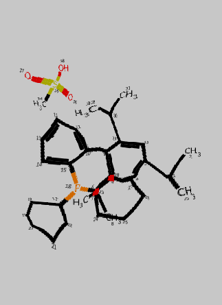 CC(C)c1cc(C(C)C)c(-c2ccccc2P(C2CCCCC2)C2CCCCC2)c(C(C)C)c1.CS(=O)(=O)O